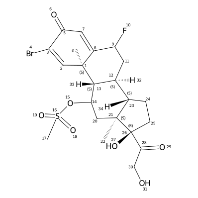 C[C@]12C=C(Br)C(=O)C=C1C(F)C[C@@H]1[C@@H]2C(OS(C)(=O)=O)C[C@@]2(C)[C@H]1CC[C@]2(O)C(=O)CO